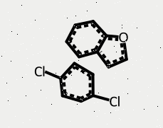 Clc1ccc(Cl)cc1.c1ccc2occc2c1